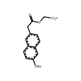 COc1ccc2cc(CC(=O)OCC(=O)O)ccc2c1